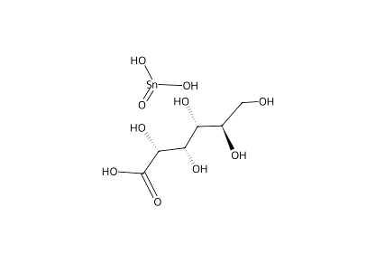 O=C(O)[C@H](O)[C@@H](O)[C@H](O)[C@H](O)CO.[O]=[Sn]([OH])[OH]